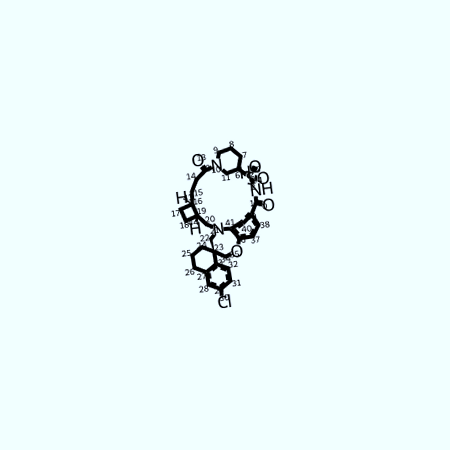 O=C1NS(=O)(=O)[C@H]2CCCN(C2)C(=O)CC[C@@H]2CC[C@H]2CN2C[C@@]3(CCCc4cc(Cl)ccc43)COc3ccc1cc32